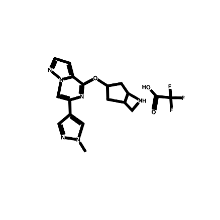 Cn1cc(-c2cn3nccc3c(OC3CC4CNC4C3)n2)cn1.O=C(O)C(F)(F)F